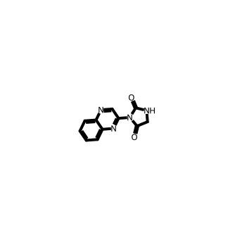 O=C1CNC(=O)N1c1cnc2ccccc2n1